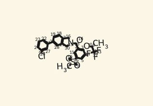 C[C@H](Oc1ccc(S(C)(=O)=O)cc1C(=O)N1Cc2ccc(-c3cccc(Cl)c3)cc2C1)C(F)(F)F